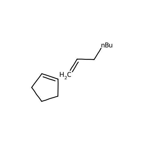 C1=CCCC1.C=CCCCCC